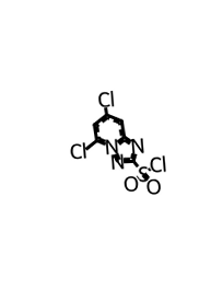 O=S(=O)(Cl)c1nc2cc(Cl)cc(Cl)n2n1